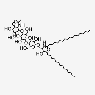 CCCCCCCCCCCCC/C=C/[C@H](O)[C@@H](CO[C@@H]1O[C@H](CO)[C@@H](O[C@@H]2OC(CO)[C@H](O[C@@H]3O[C@H](CO)[C@H](O)C(O)C3NC(C)=O)[C@H](O)C2O)C(O)C1O)NC(=O)CCCCCCCCCCCCCCCCC